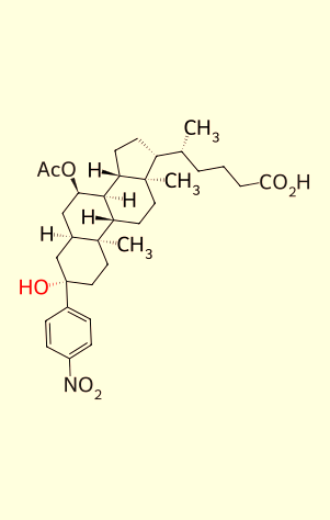 CC(=O)O[C@@H]1C[C@@H]2C[C@](O)(c3ccc([N+](=O)[O-])cc3)CC[C@]2(C)[C@H]2CC[C@]3(C)[C@@H]([C@H](C)CCCC(=O)O)CC[C@H]3[C@H]12